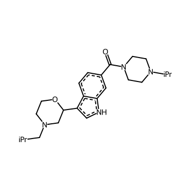 CC(C)CN1CCOC(c2c[nH]c3cc(C(=O)N4CCN(C(C)C)CC4)ccc23)C1